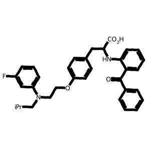 CC(C)CN(CCOc1ccc(CC(Nc2ccccc2C(=O)c2ccccc2)C(=O)O)cc1)c1cccc(F)c1